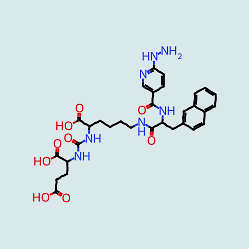 NNc1ccc(C(=O)NC(Cc2ccc3ccccc3c2)C(=O)NCCCCC(NC(=O)NC(CCC(=O)O)C(=O)O)C(=O)O)cn1